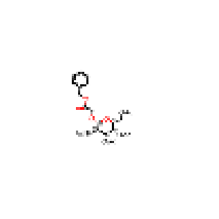 CC(=O)N[C@H]1[C@H](OCC(=O)OCc2ccccc2)O[C@H](COC(C)=O)[C@H](OC(C)=O)[C@@H]1OC(C)=O